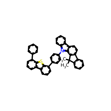 CC1(C)c2ccccc2-c2ccc3c4ccccc4n(-c4ccc(-c5cccc6c5sc5c(-c7ccccc7)cccc56)cc4)c3c21